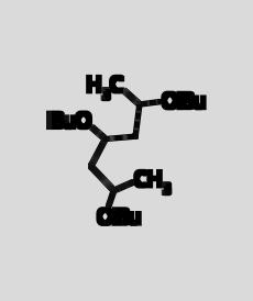 CC(C)COC(C)CC(CC(C)OCC(C)C)OCC(C)C